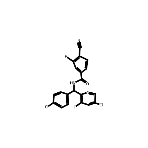 N#Cc1ccc(C(=O)NC(c2ccc(Cl)cc2)c2ncc(Cl)cc2F)cc1F